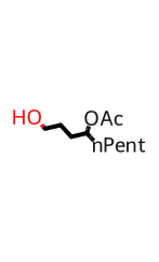 CCCCCC(CCCO)OC(C)=O